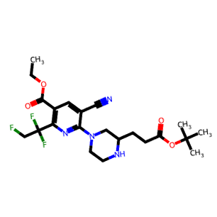 CCOC(=O)c1cc(C#N)c(N2CCNC(CCC(=O)OC(C)(C)C)C2)nc1C(F)(F)CF